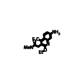 CCOc1nc2cc(N)ccc2c(C(F)(F)F)c1CC(=O)NC